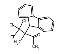 CC(=O)C(C)(C1c2ccccc2-c2ccccc21)C(Cl)(Cl)Cl